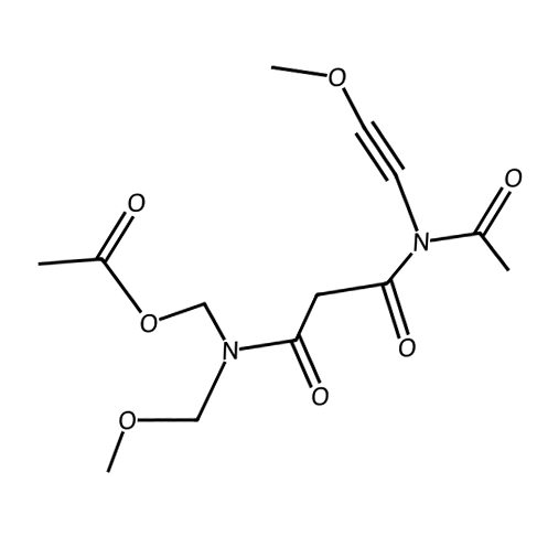 COC#CN(C(C)=O)C(=O)CC(=O)N(COC)COC(C)=O